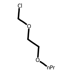 CCCOCCOCCl